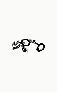 CO[C@]1(C)CC[C@H](Sc2ccccc2)C[C@H]1O